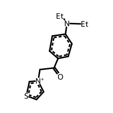 CCN(CC)c1ccc(C(=O)C[n+]2ccsc2)cc1